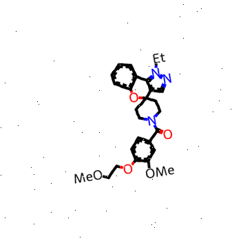 CCn1ncc2c1-c1ccccc1OC21CCN(C(=O)c2ccc(OCCOC)c(OC)c2)CC1